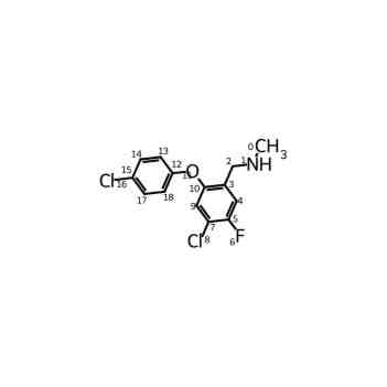 CNCc1cc(F)c(Cl)cc1Oc1ccc(Cl)cc1